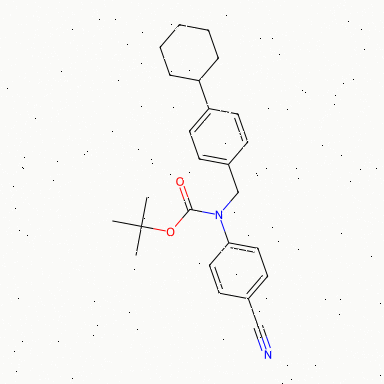 CC(C)(C)OC(=O)N(Cc1ccc(C2CCCCC2)cc1)c1ccc(C#N)cc1